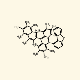 Bc1c(B)c(B)c2c(B)c(B)c(-c3c4c(B)c(B)c(B)c(B)c4c(-c4cccc5oc6ccccc6c45)c4c(B)c(B)c(B)c(B)c34)cc2c1B